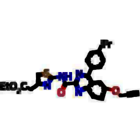 C#CCOc1ccc2nc(C(=O)Nc3nc(CC(=O)OCC)cs3)nc(-c3ccc(C(C)C)cc3)c2c1